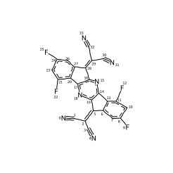 N#CC(C#N)=C1c2cc(F)cc(F)c2-c2nc3c(nc21)-c1c(F)cc(F)cc1C3=C(C#N)C#N